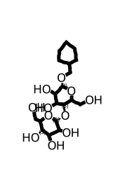 OCC1O[C@H](O[C@@H]2C(CO)O[C@@H](OCC3CCCCC3)C(O)C2O)C(O)C(O)[C@@H]1O